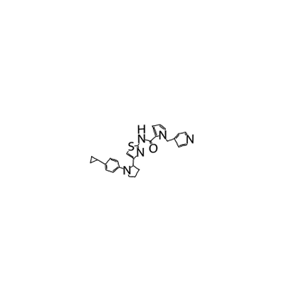 O=C(Nc1nc(C2CCCN2c2ccc(C3CC3)cc2)cs1)c1cccn1Cc1ccncc1